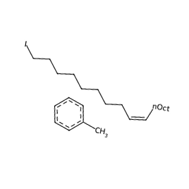 CCCCCCCC/C=C\CCCCCCCCI.Cc1ccccc1